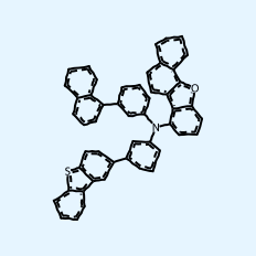 c1cc(-c2ccc3sc4ccccc4c3c2)cc(N(c2cccc(-c3cccc4ccccc34)c2)c2cccc3oc4c5ccccc5ccc4c23)c1